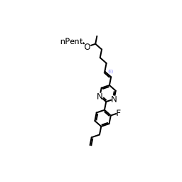 C=CCc1ccc(-c2ncc(/C=C/CCCC(C)OCCCCC)cn2)c(F)c1